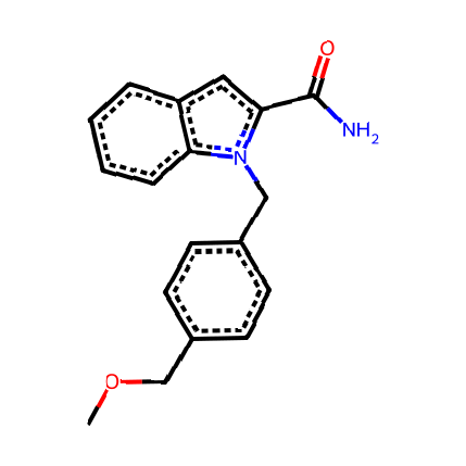 COCc1ccc(Cn2c(C(N)=O)cc3ccccc32)cc1